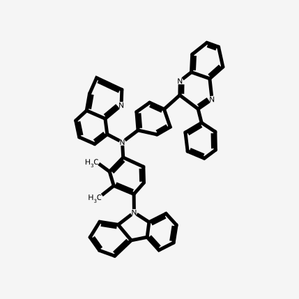 Cc1c(N(c2ccc(-c3nc4ccccc4nc3-c3ccccc3)cc2)c2cccc3cccnc23)ccc(-n2c3ccccc3c3ccccc32)c1C